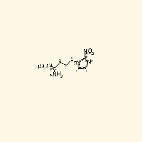 N[C@H](CCCn1ccnc1[N+](=O)[O-])C(=O)O